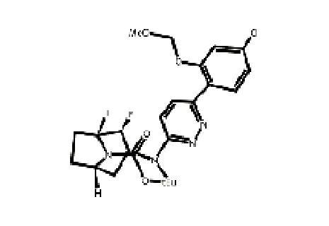 COCOc1cc(Cl)ccc1-c1ccc(N(C)[C@H]2C[C@@H]3CC[C@H]([C@H]2F)N3C(=O)OC(C)(C)C)nn1